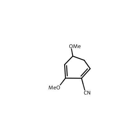 COC1=CC(OC)CC=C1C#N